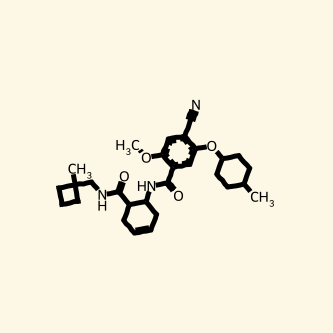 COc1cc(C#N)c(OC2CCC(C)CC2)cc1C(=O)NC1CC=CCC1C(=O)NCC1(C)CCC1